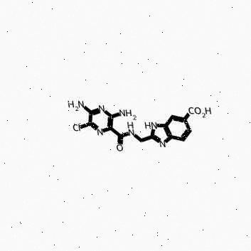 Nc1nc(N)c(C(=O)NCc2nc3ccc(C(=O)O)cc3[nH]2)nc1Cl